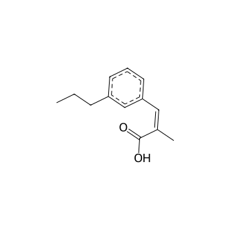 CCCc1cccc(C=C(C)C(=O)O)c1